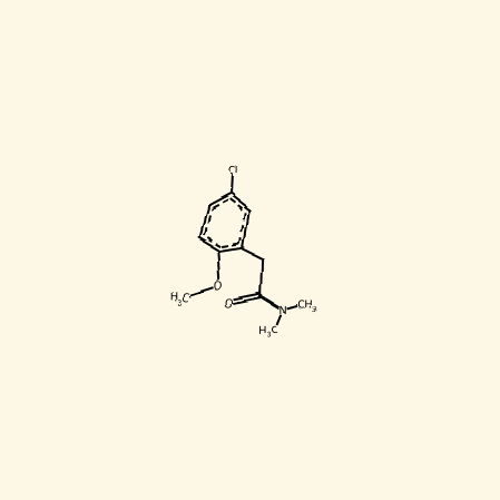 COc1ccc(Cl)cc1CC(=O)N(C)C